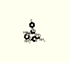 NC(=O)c1ncc(N[C@@H]2CS(O)(O)CC[C@@H]2N)cc1Nc1ccn(-c2ccc(F)cc2)n1